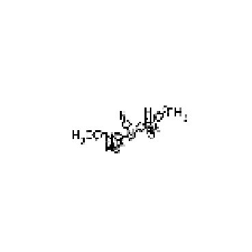 COc1ccc(CNc2ccc(C3CCC(c4ccc(NCc5ccc(C)cc5)c([N+](=O)[O-])c4)N3c3ccc(F)cc3)cc2[N+](=O)[O-])cc1